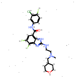 CN(CCNc1nc2c(F)c(F)cc(C(=O)Nc3ccc(F)c(Cl)c3)c2[nH]1)CC1CCOCC1